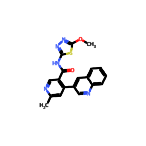 COc1nnc(NC(=O)c2cnc(C)cc2-c2cnc3ccccc3c2)s1